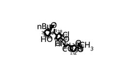 CCCCP(=O)(CCc1cc(Cl)c(C(=O)N[C@@H](Cc2cccc(S(C)(=O)=O)c2)C(=O)O)c(Cl)c1)c1cccc(O)c1